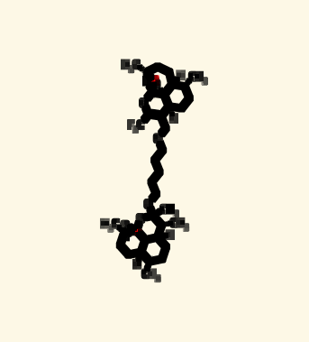 C[C@@H]1CC[C@H]2[C@@H](C)[C@@](C)(OCCCCCOCC3=C(C(F)(F)F)O[C@@H]4O[C@]5(C)CC[C@H]6[C@H](C)CC[C@@H]3[C@@]46OO5)O[C@@H]3O[C@]4(C)CC[C@@H]1[C@]32O4